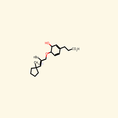 CCCC/C(=C\C1(C)CCCC1)COC1C=CC(CCC(=O)O)=CC1O